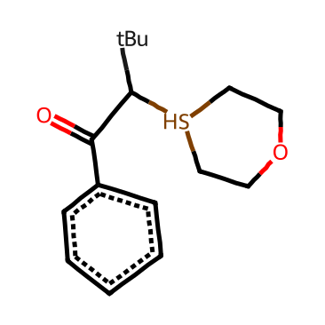 CC(C)(C)C(C(=O)c1ccccc1)[SH]1CCOCC1